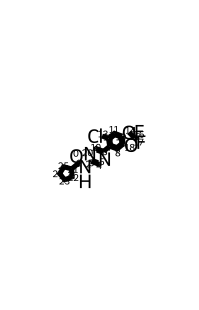 O=C(Nc1cnc(-c2cc3c(cc2Cl)OC(F)(F)O3)cn1)C1CCCC1